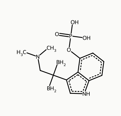 BC(B)(CN(C)C)c1c[nH]c2cccc(OP(=O)(O)O)c12